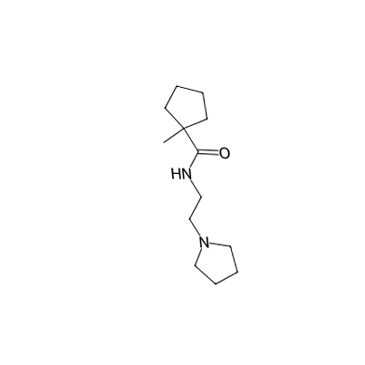 CC1(C(=O)NCCN2CCCC2)CCCC1